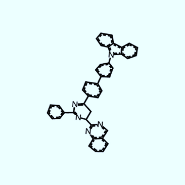 c1ccc(C2=NC(c3ncc4ccccc4n3)CC(c3ccc(-c4ccc(-n5c6ccccc6c6ccccc65)cc4)cc3)=N2)cc1